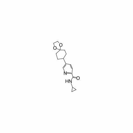 O=C(NC1CC1)c1ccc(C2CCC3(CC2)OCCO3)cn1